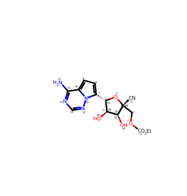 CCOC(=O)OC[C@@]1(C#N)O[C@@H](c2ccc3c(N)ncnn23)[C@H](O)[C@@H]1O